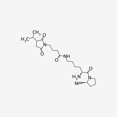 CC(C)C1CC(=O)N(CCCC(=O)NCCCC[C@H](N)C(=O)N2CCC[C@H]2C#N)C1=O